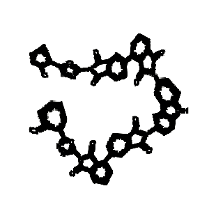 O=C1c2ccc(-c3cccc4c3C(=O)N(c3nnc(-c5ccccc5Cl)o3)C4=O)cc2C(=O)N1c1ccc2[nH]c3ccc(N4C(=O)c5cccc(-c6ccc7c(c6)C(=O)N(c6nnc(-c8ccccc8Cl)o6)C7=O)c5C4=O)cc3c2c1